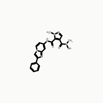 CCCN(C)C(=O)c1cnn(C)c1C(=O)Nc1ccn2cc(-c3ccccc3)nc2c1